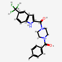 Cc1ccc(C(=O)N2CCN(C(=O)c3cc4cc(C(F)(F)F)ccc4[nH]3)CC2)cc1